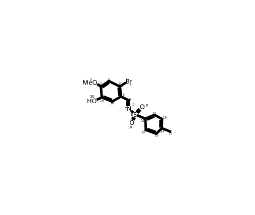 COc1cc(Br)c(/C=N/S(=O)(=O)c2ccc(C)cc2)cc1O